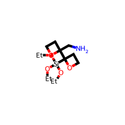 CCO[Si](OCC)(OCC)C1(C2(CN)CCO2)CCO1